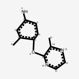 Cc1cc([NH])ccc1Oc1nccnc1C